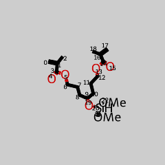 C=C(C)C(=O)OCCCC(CCCOC(=O)C(=C)C)O[SiH](OC)OC